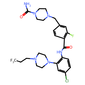 NC(=O)N1CCN(Cc2ccc(C(=O)Nc3ccc(Cl)cc3N3CCN(CCC(F)(F)F)CC3)c(F)c2)CC1